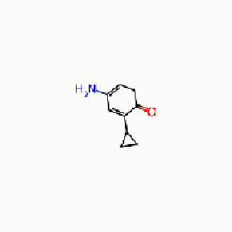 NC1=CCC(=O)C(C2CC2)=C1